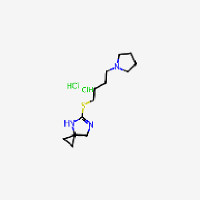 C(CCN1CCCC1)CSC1=NCC2(CC2)N1.Cl.Cl